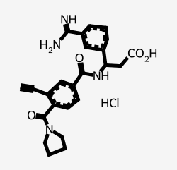 C#Cc1cc(C(=O)NC(CC(=O)O)c2cccc(C(=N)N)c2)ccc1C(=O)N1CCCC1.Cl